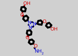 NCOc1ccc(Oc2ccc(N3CN(c4ccc(Oc5ccc(O)cc5)cc4)CN(c4ccc(Oc5ccc(O)cc5)cc4)C3)cc2)cc1